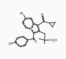 CCOC(=O)C(C)(C)Cc1c(C(=O)C2CC2)c2cc(C(C)C)ccn2c1C(=O)c1ccc(Cl)cc1